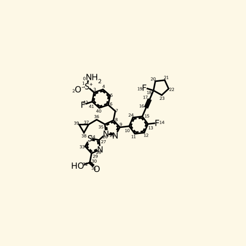 N[S+]([O-])c1ccc(Cc2c(-c3ccc(F)c(C#CC4(F)CCCC4)c3)nn(-c3nc(C(=O)O)cs3)c2CC2CC2)cc1F